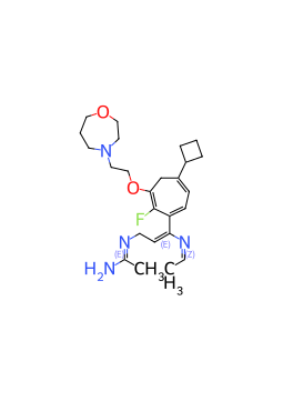 C/C=N\C(=C\C/N=C(\C)N)C1=CC=C(C2CCC2)CC(OCCN2CCCOCC2)=C1F